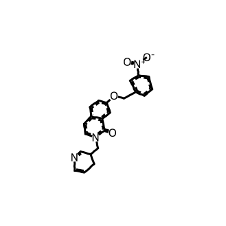 O=c1c2cc(OCc3cccc([N+](=O)[O-])c3)ccc2ccn1CC1C=NC=CC1